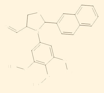 COc1cc(N2C(C=S)CSC2c2ccc3ccccc3c2)cc(OC)c1OC